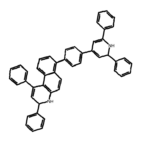 C1=C(c2ccc(-c3cccc4c5c(ccc34)NC(c3ccccc3)C=C5c3ccccc3)cc2)C=C(c2ccccc2)NC1c1ccccc1